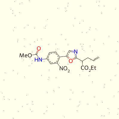 C=CCC(C(=O)OCC)c1ncc(-c2ccc(NC(=O)OC)cc2[N+](=O)[O-])o1